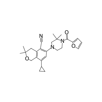 CC1(C)Cc2c(C#N)c(N3CCN(C(=O)c4ccco4)C(C)(C)C3)cc(C3CC3)c2CO1